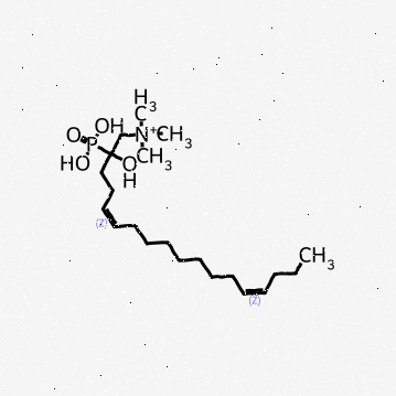 CCC/C=C\CCCCCCC/C=C\CCC(O)(C[N+](C)(C)C)P(=O)(O)O